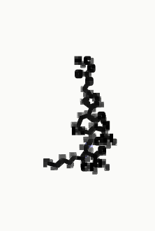 COC(=O)OCn1cc(C2=c3onc(N)c3=C(/C(C)=C/C(C(C)=O)=C(/C)CCC=CF)NCC2)cn1